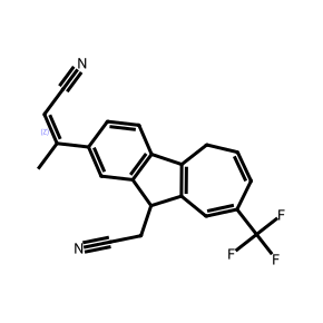 C/C(=C/C#N)c1ccc2c(c1)C(CC#N)C1=C2CC=CC(C(F)(F)F)=C1